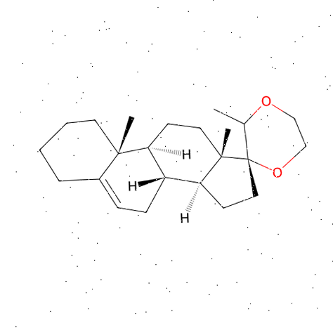 CC1OCCO[C@@]12CC[C@H]1[C@@H]3CC=C4CCCC[C@]4(C)[C@H]3CC[C@@]12C